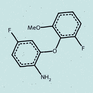 COc1cccc(F)c1Oc1cc(F)ccc1N